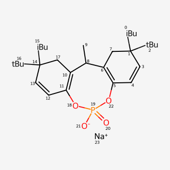 CCC(C)C1(C(C)(C)C)C=CC2=C(C1)C(C)C1=C(C=CC(C(C)CC)(C(C)(C)C)C1)OP(=O)([O-])O2.[Na+]